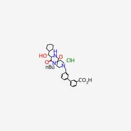 CCCCN1C(=O)[C@@H]([C@H](O)C2CCCCC2)NC(=O)C12CCN(Cc1cccc(-c3cccc(C(=O)O)c3)c1)CC2.Cl